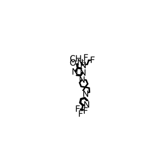 COc1nn(CC(F)F)c2nc(N3CCC4(CCN(c5ccc(C(F)(F)F)nc5)C4)CC3)cnc12